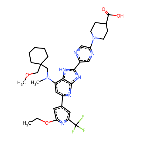 CCOc1cc(-c2cc(N(C)CC3(COC)CCCCC3)c3[nH]c(-c4cnc(N5CCC(C(=O)O)CC5)cn4)nc3n2)cc(C(F)(F)F)n1